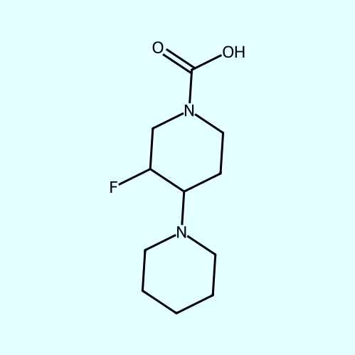 O=C(O)N1CCC(N2CCCCC2)C(F)C1